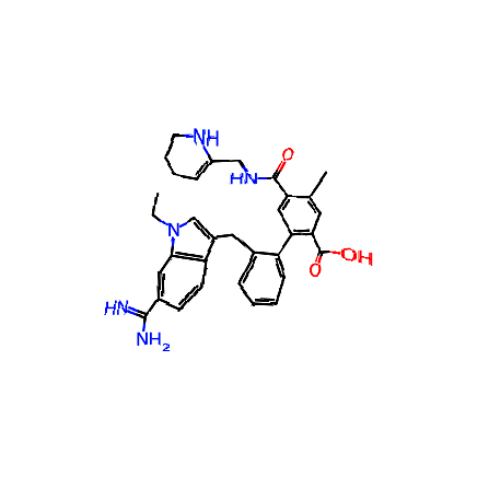 CCn1cc(Cc2ccccc2-c2cc(C(=O)NCC3=CCCCN3)c(C)cc2C(=O)O)c2ccc(C(=N)N)cc21